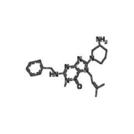 CC(C)=CCn1c(N2CCCC(N)C2)nc2nc(NCc3ccccc3)n(C)c(=O)c21